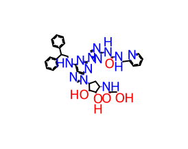 O=C(CO)N[C@H]1C[C@@H](n2cnc3c(NCC(c4ccccc4)c4ccccc4)nc(-n4cnc(NC(=O)NCc5ccccn5)n4)nc32)[C@H](O)[C@@H]1O